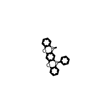 CB1c2ccccc2Oc2cc3c(cc21)B(c1ccccc1)c1ccccc1O3